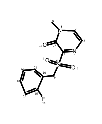 Cn1ccnc(S(=O)(=O)Cc2ccccc2F)c1=O